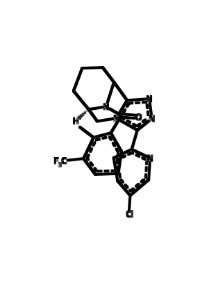 Cc1c(C(=O)N2C3CCC[C@@H]2Cn2c(-c4ccc(Cl)cn4)nnc23)cccc1C(F)(F)F